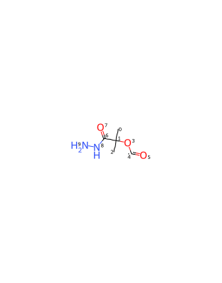 CC(C)(O[C]=O)C(=O)NN